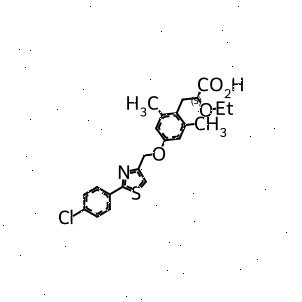 CCO[C@@H](Cc1c(C)cc(OCc2csc(-c3ccc(Cl)cc3)n2)cc1C)C(=O)O